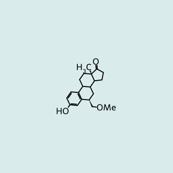 COC[C@@H]1CC2C(CC[C@]3(C)C(=O)CCC23)c2ccc(O)cc21